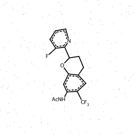 CC(=O)Nc1cc2c(cc1C(F)(F)F)CCC(c1ncccc1F)O2